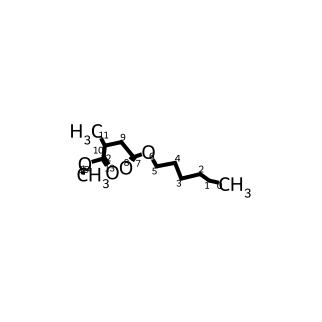 CCCCCCOC(=O)CC(C)C(=O)OC